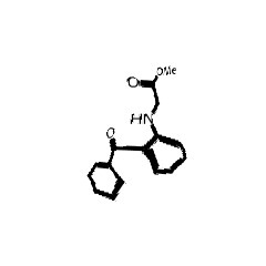 COC(=O)CNc1ccccc1C(=O)C1=CCCCC1